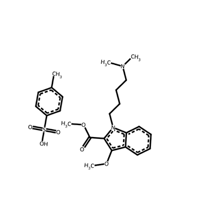 COC(=O)c1c(OC)c2ccccc2n1CCCCN(C)C.Cc1ccc(S(=O)(=O)O)cc1